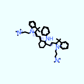 CC1(C)C(/C=C/C2=C(Nc3ccccc3)C(=C/C=C3/N(CCC[N+](C)(C)C)c4ccccc4C3(C)C)/CCC2)=[N+](CCC[N+](C)(C)C)c2ccccc21